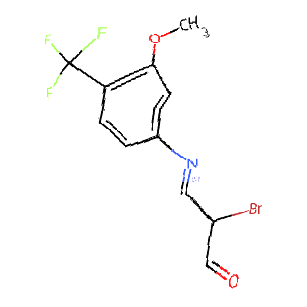 COc1cc(/N=C/C(Br)C=O)ccc1C(F)(F)F